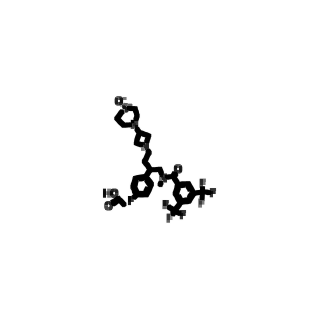 CC(=O)O.CN(CC(CCN1CC(N2CC[S+]([O-])CC2)C1)c1ccc(F)cc1)C(=O)c1cc(C(F)(F)F)cc(C(F)(F)F)c1